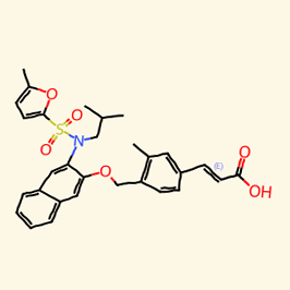 Cc1ccc(S(=O)(=O)N(CC(C)C)c2cc3ccccc3cc2OCc2ccc(/C=C/C(=O)O)cc2C)o1